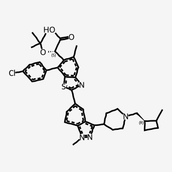 Cc1cc2nc(-c3ccc4c(c3)c(C3CCN(C[C@@H]5CCC5C)CC3)nn4C)sc2c(-c2ccc(Cl)cc2)c1[C@H](OC(C)(C)C)C(=O)O